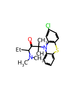 CCC(C(=O)C(C)(C)N1c2ccccc2Sc2ccc(Cl)cc21)N(C)C